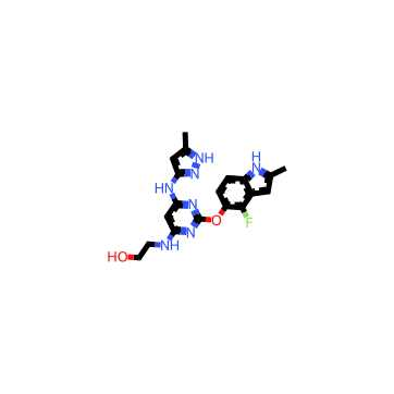 Cc1cc(Nc2cc(NCCO)nc(Oc3ccc4[nH]c(C)cc4c3F)n2)n[nH]1